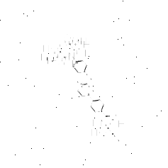 BC1(O)OC(O)(O)C(O)(O)N(c2ccc(Nc3nccc(-c4ccc(C(=O)NC(O)(O)C#N)cc4)n3)cc2)C1(O)O